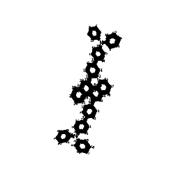 c1ccc(N(c2ccccc2)c2ccc(-c3ccc(-c4cc5ccccc5c5c(-c6ccc(-c7ccc(N(c8ccccc8)c8ccccc8)cc7)cc6)cc6ccccc6c45)cc3)cc2)cc1